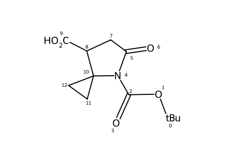 CC(C)(C)OC(=O)N1C(=O)CC(C(=O)O)C12CC2